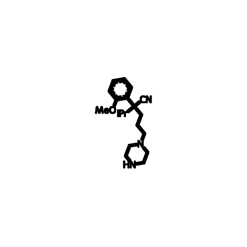 COc1ccccc1C(C#N)(CCCN1CCNCC1)C(C)C